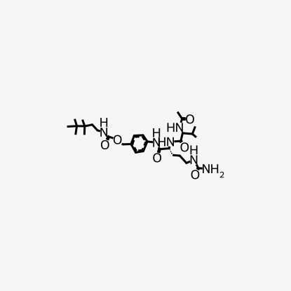 CC(=O)N[C@@H](C(=O)N[C@H](CCCNC(N)=O)C(=O)Nc1ccc(COC(=O)NCCC(C)(C)C(C)(C)C)cc1)C(C)C